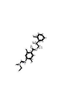 CCN(C)/C=N/c1cc(C)c(C(=O)O[C@@H](C)[C@@H](C)c2ccccc2C)cc1C